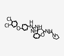 N=C(Nc1ccc(Oc2ccc(Cl)c(Cl)c2)cc1)NC(CC(=O)NCCN1CCCC1)c1ccccc1